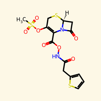 CS(=O)(=O)OC1=C(C(=O)ONC(=O)Cc2cccs2)N2C(=O)C[C@@H]2SC1